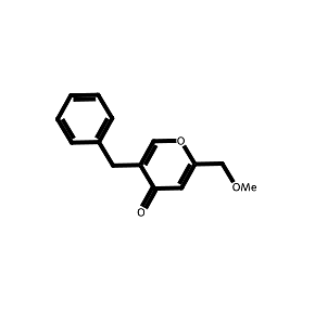 COCc1cc(=O)c(Cc2ccccc2)co1